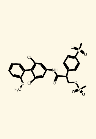 CS(=O)(=O)OCC(C(=O)Nc1cc(Cl)c(-c2ccccc2OC(F)(F)F)c(Cl)c1)c1ccc(S(C)(=O)=O)cc1